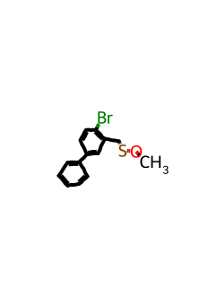 COSCc1cc(-c2ccccc2)ccc1Br